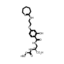 CCCCOC(=O)N[C@@H](CNC(=O)c1ccc(OCCNC2=NCCCCC2)cc1O)C(=O)O